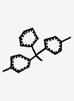 Cc1ccc(C(C)(c2ccccc2)c2ccc(C)cc2)cc1